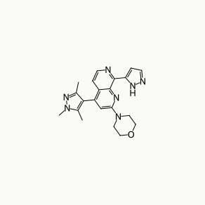 Cc1nn(C)c(C)c1-c1cc(N2CCOCC2)nc2c(-c3ccn[nH]3)nccc12